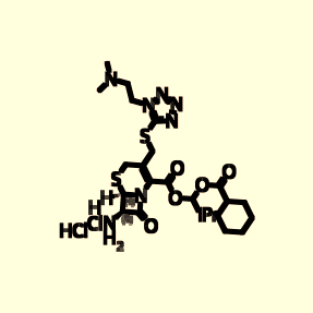 CC(C)C(OC(=O)C1=C(CSc2nnnn2CCN(C)C)CS[C@@H]2[C@H](N)C(=O)N12)OC(=O)C1CCCCC1.Cl.Cl